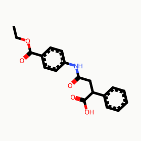 CCOC(=O)c1ccc(NC(=O)CC(C(=O)O)c2ccccc2)cc1